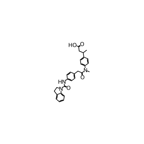 CC(CC(=O)O)c1ccc(N(C)C(=O)Cc2ccc(NC(=O)N3CCc4ccccc43)cc2)cc1